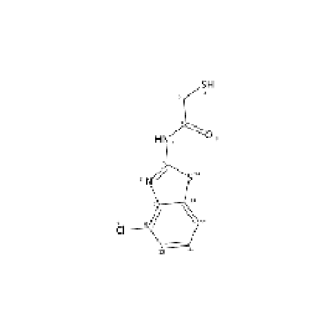 O=C(CS)Nc1nc2c(Cl)cccc2s1